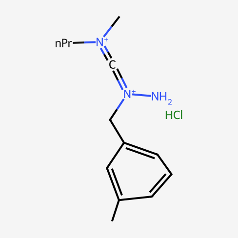 CCC[N+](C)=C=[N+](N)Cc1cccc(C)c1.Cl